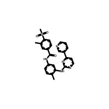 Cc1ccc(NC(=O)c2ccc(S(C)(=O)=O)c(C)c2)cc1Nc1nccc(-c2cccnc2)n1